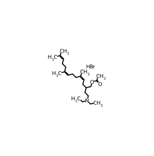 Br.CCN(CC)CCC(CC=C(C)CCC=C(C)CCC=C(C)C)COC(C)=O